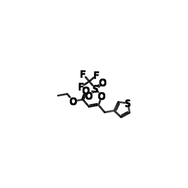 CCOC(=O)/C=C(/Cc1ccsc1)OS(=O)(=O)C(F)(F)F